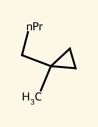 [CH2]CCCC1(C)CC1